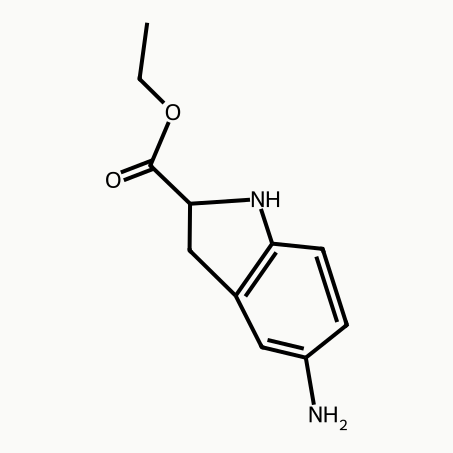 CCOC(=O)C1Cc2cc(N)ccc2N1